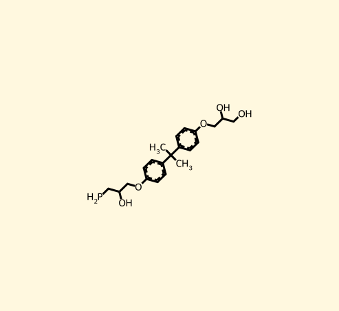 CC(C)(c1ccc(OCC(O)CO)cc1)c1ccc(OCC(O)CP)cc1